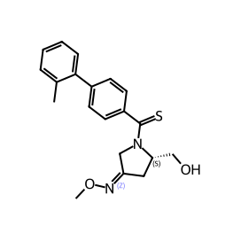 CO/N=C1/C[C@@H](CO)N(C(=S)c2ccc(-c3ccccc3C)cc2)C1